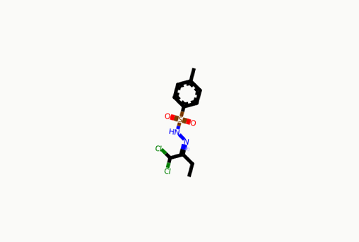 CC/C(=N/NS(=O)(=O)c1ccc(C)cc1)C(Cl)Cl